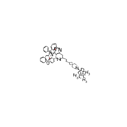 CC(C)(C)OC(=O)N1CCC2(CC1)CC(CCC1Cc3ncnc(N=P(c4ccccc4)(c4ccccc4)c4ccccc4)c3C(c3ccc(Oc4ccccc4)cc3)=N1)C2